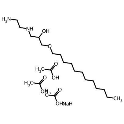 CC(=O)O.CC(=O)O.CC(=O)O.CCCCCCCCCCCCOCC(O)CNCCN.[NaH]